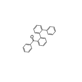 O=C(c1ccccc1)c1ccccc1-c1ccccc1-c1ccccc1